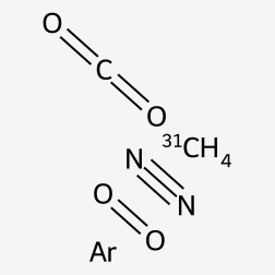 N#N.O=C=O.O=O.[31CH4].[Ar]